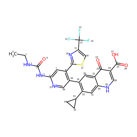 CCNC(=O)Nc1cc(-c2nc(C(F)(F)F)cs2)c(-c2cc3c(=O)c(C(=O)O)c[nH]c3cc2C2CC2)cn1